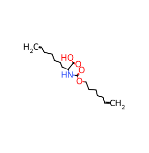 C=CCCCCCOC(=O)N[C@@H](CCCCCC=C)C(=O)O